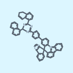 C1=Cc2c(cccc2C2=NC(c3cccc4ccccc34)NC(c3ccc(-c4ccc5c(c4)C4(c6ccccc6-c6ccccc64)c4cccc6c7ccccc7n-5c46)cc3)=N2)CC1